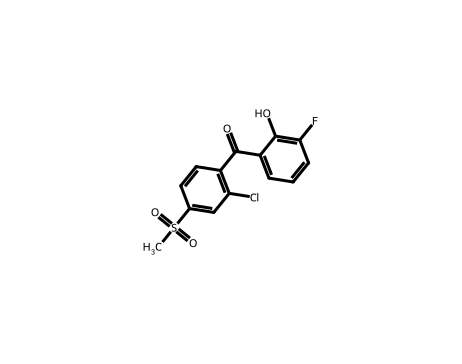 CS(=O)(=O)c1ccc(C(=O)c2cccc(F)c2O)c(Cl)c1